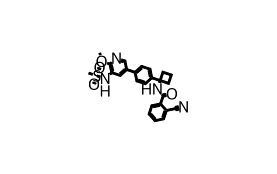 COc1ncc(-c2ccc(C3(NC(=O)c4ccccc4C#N)CCC3)cc2)cc1NS(C)(=O)=O